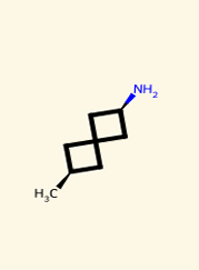 C[C@H]1CC2(C1)C[C@H](N)C2